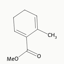 COC(=O)C1=CCCC=C1C